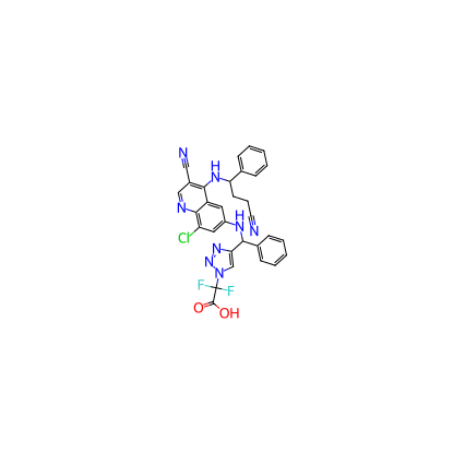 N#CCCC(Nc1c(C#N)cnc2c(Cl)cc(NC(c3ccccc3)c3cn(C(F)(F)C(=O)O)nn3)cc12)c1ccccc1